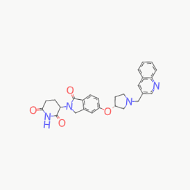 O=C1CCC(N2Cc3cc(O[C@@H]4CCN(Cc5cnc6ccccc6c5)C4)ccc3C2=O)C(=O)N1